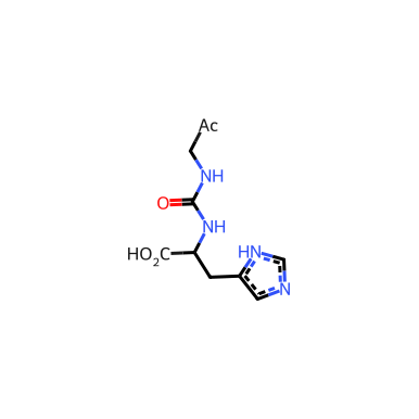 CC(=O)CNC(=O)NC(Cc1cnc[nH]1)C(=O)O